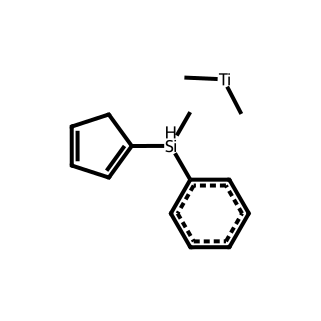 C[SiH](C1=CC=CC1)c1ccccc1.[CH3][Ti][CH3]